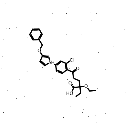 CCOC(CC)(CCC(=O)c1ccc([SH]2C=CC(OCc3ccccc3)=C2)cc1Cl)C(=O)O